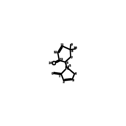 C=C1C=CCN1C1CC(C)(C)C=CC1=O